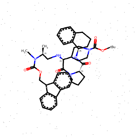 C[C@@H](CN[C@H](C(=O)N1CCC[C@H]1C(=O)N[C@@H]1CCCc2ccccc21)C1CCN(C(=O)OC(C)(C)C)CC1)N(C)C(=O)OCC1c2ccccc2-c2ccccc21